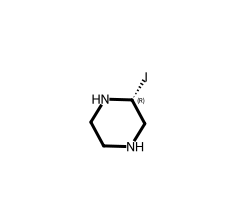 I[C@@H]1CNCCN1